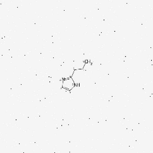 [CH2]CCc1ncc[nH]1